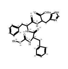 COC(=O)C(Cc1c[nH]cn1)NC(=O)C(Cc1ccccc1)NC(=O)C(Cc1ccccc1)NC(=O)OC(C)(C)C